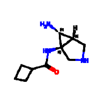 N[C@@H]1[C@@H]2CNC[C@]12NC(=O)C1CCC1